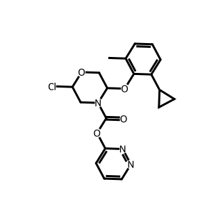 Cc1cccc(C2CC2)c1OC1COC(Cl)CN1C(=O)Oc1cccnn1